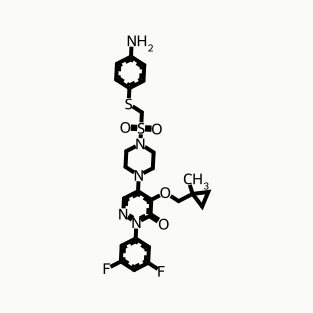 CC1(COc2c(N3CCN(S(=O)(=O)CSc4ccc(N)cc4)CC3)cnn(-c3cc(F)cc(F)c3)c2=O)CC1